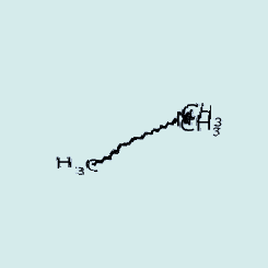 CCCCCCCCCCCCCCCCCCC=CN(C)C